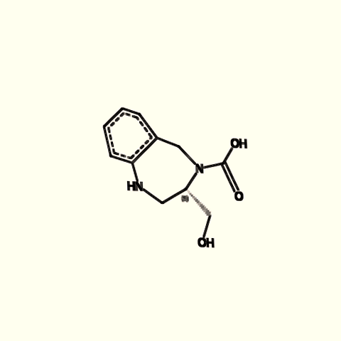 O=C(O)N1Cc2ccccc2NC[C@H]1CO